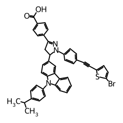 CC(C)c1ccc(-n2c3ccccc3c3cc(C4CC(c5ccc(C(=O)O)cc5)=NN4c4ccc(C#Cc5ccc(Br)s5)cc4)ccc32)cc1